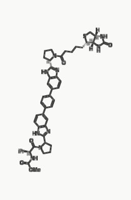 COC(=O)N[C@H](C(=O)N1CCCC1c1nc2cc(-c3ccc(-c4ccc5nc([C@@H]6CCCN6C(=O)CCCC[C@@H]6SC[C@@H]7NC(=O)N[C@@H]76)[nH]c5c4)cc3)ccc2[nH]1)C(C)C